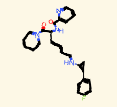 O=C(N[C@@H](CCCCN[C@@H]1C[C@H]1c1ccc(F)cc1)C(=O)N1CCCCC1)c1ccccn1